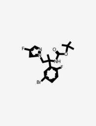 CC(C)(C)OC(=O)NC(C)(Cn1cc(F)cn1)c1cc(Br)ccc1F